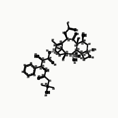 CC(=O)O[C@H]1C(=O)[C@@]2(C)[C@H]([C@H](O)[C@]3(C)C[C@H](OC(=O)[C@H](O)[C@@H](NC(=O)C[Si](C)(C)O)c4ccccc4)C(C)=C1C3(C)C)[C@]1(O)CO[C@@H]1C[C@@H]2O